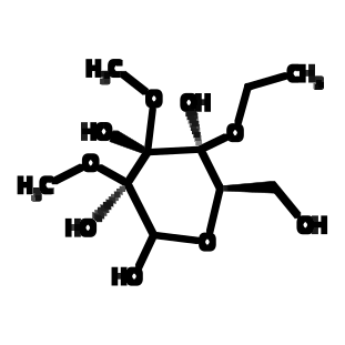 CCO[C@@]1(O)[C@@H](CO)OC(O)[C@@](O)(OC)[C@]1(O)OC